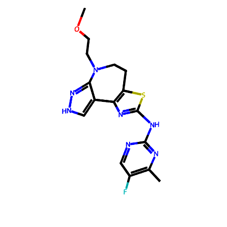 COCCN1CCc2sc(Nc3ncc(F)c(C)n3)nc2-c2c[nH]nc21